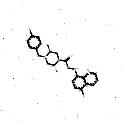 C[C@@H]1CN(Cc2ccc(F)cc2)[C@@H](C)CN1C(=O)COc1ccc(Cl)c2cccnc12